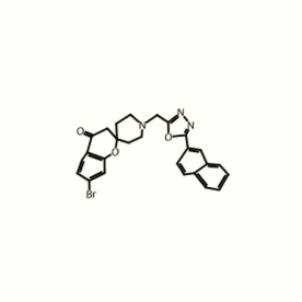 O=C1CC2(CCN(Cc3nnc(-c4ccc5ccccc5c4)o3)CC2)Oc2cc(Br)ccc21